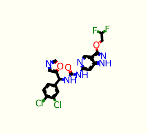 O=C(Nc1cc2[nH]nc(OCC(F)F)c2cn1)NC(c1ccc(Cl)c(Cl)c1)c1cnco1